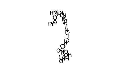 CC(C)Oc1ccc2[nH]nc(-c3cc(N4CCN(CCN5CCC(CC6CCN(c7ccc8c(c7)C(=O)N(C7CCC(=O)NC7O)C8=O)CC6)CC5)CC4)ncn3)c2c1